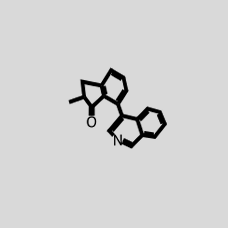 CC1Cc2cccc(-c3cncc4ccccc34)c2C1=O